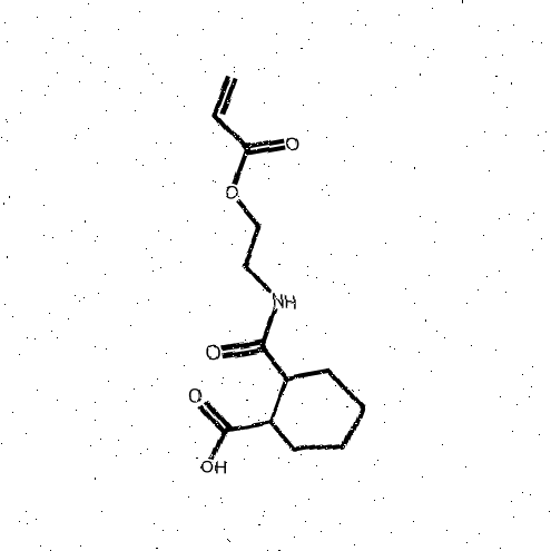 C=CC(=O)OCCNC(=O)C1CCCCC1C(=O)O